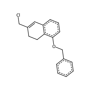 ClCC1=Cc2cccc(OCc3ccccc3)c2CC1